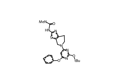 CNC(=O)Nc1nc2c(s1)CN(c1cc(Oc3ccccc3)nc(OC(C)(C)C)n1)CC2